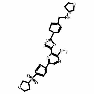 Nc1ncc(-c2ccc(S(=O)(=O)C3CCOC3)cc2)nc1-c1nnc(C2C=CC(CN[C@H]3CCOC3)=CC2)o1